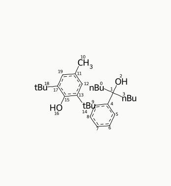 CCCCC(O)(CCCC)c1ccccc1.Cc1cc(C(C)(C)C)c(O)c(C(C)(C)C)c1